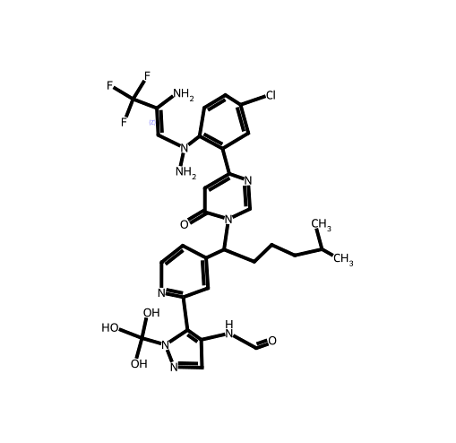 CC(C)CCCC(c1ccnc(-c2c(NC=O)cnn2C(O)(O)O)c1)n1cnc(-c2cc(Cl)ccc2N(N)/C=C(\N)C(F)(F)F)cc1=O